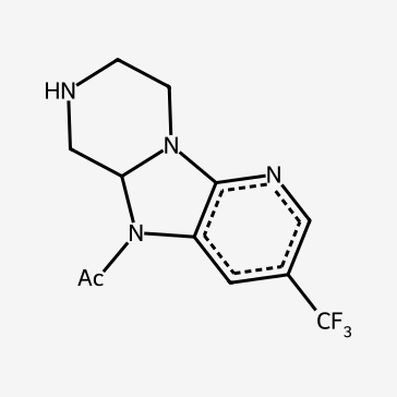 CC(=O)N1c2cc(C(F)(F)F)cnc2N2CCNCC21